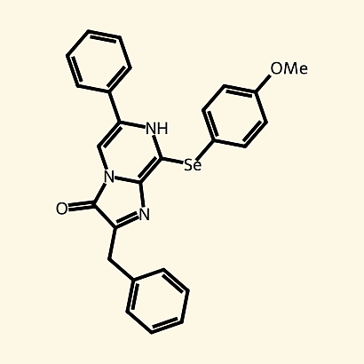 COc1ccc([Se]c2[nH]c(-c3ccccc3)cn3c(=O)c(Cc4ccccc4)nc2-3)cc1